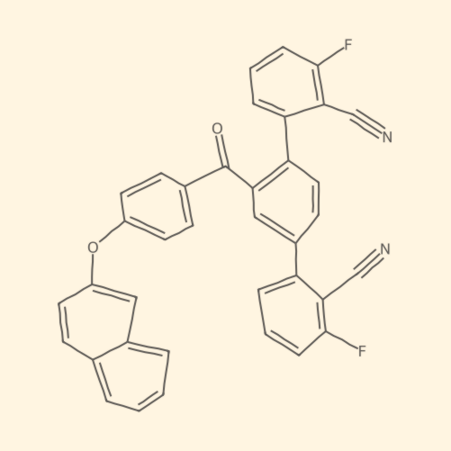 N#Cc1c(F)cccc1-c1ccc(-c2cccc(F)c2C#N)c(C(=O)c2ccc(Oc3ccc4ccccc4c3)cc2)c1